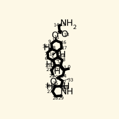 CC1=C2C[C@H]3[C@@H](CC[C@@H]4C[C@@H](OC(=O)CN)CC[C@@]43C)[C@@H]2CC[C@@]2(C1)O[C@@H]1CCCN[C@H]1[C@H]2C